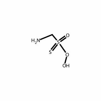 NCS(=O)(=S)OO